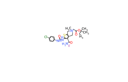 CC(C)(C)OC(=O)C[N+]1(C)CCc2c(sc(NC(=O)Nc3ccc(Cl)cc3)c2C(N)=O)C1.[I-]